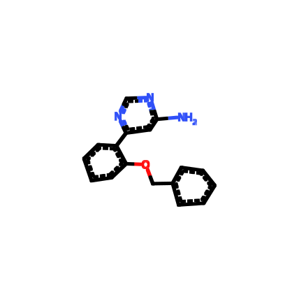 Nc1cc(-c2ccccc2OCc2ccccc2)ncn1